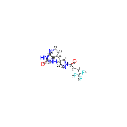 O=C(CCC(F)(F)F)n1cc(-c2ccnc3[nH]c(=O)[nH]c23)cn1